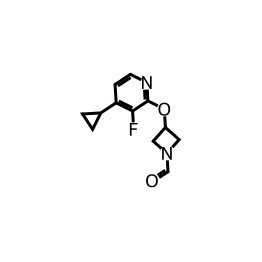 O=CN1CC(Oc2nccc(C3CC3)c2F)C1